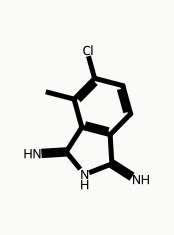 Cc1c(Cl)ccc2c1C(=N)NC2=N